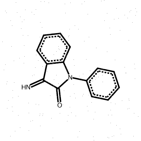 N=C1C(=O)N(c2ccccc2)c2ccccc21